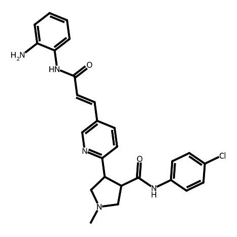 CN1CC(C(=O)Nc2ccc(Cl)cc2)C(c2ccc(/C=C/C(=O)Nc3ccccc3N)cn2)C1